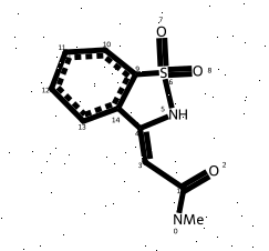 CNC(=O)C=C1NS(=O)(=O)c2ccccc21